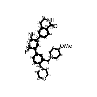 COC1CCN(Cc2cc(-c3cc(-c4ccc5c(c4)CCNC5=O)c(N)nc3F)ccc2N2CCOCC2)CC1